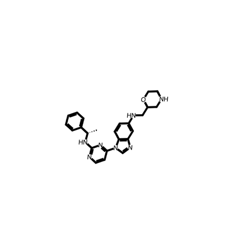 C[C@H](Nc1nccc(-n2cnc3cc(NCC4CNCCO4)ccc32)n1)c1ccccc1